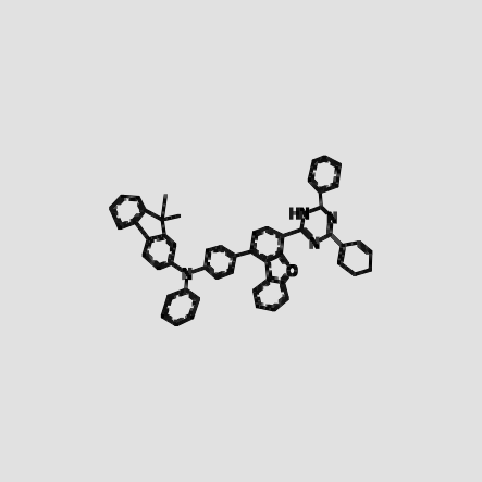 CC1(C)c2ccccc2-c2ccc(N(c3ccccc3)c3ccc(-c4ccc(C5=NC(C6=CCCC=C6)=NC(c6ccccc6)N5)c5oc6ccccc6c45)cc3)cc21